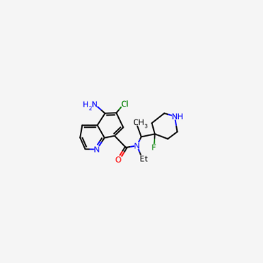 CCN(C(=O)c1cc(Cl)c(N)c2cccnc12)C(C)C1(F)CCNCC1